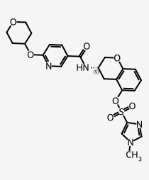 Cn1cnc(S(=O)(=O)Oc2cccc3c2C[C@H](NC(=O)c2ccc(OC4CCOCC4)nc2)CO3)c1